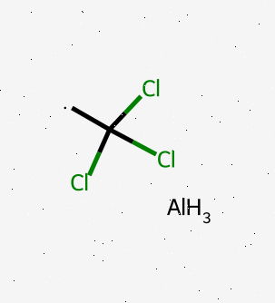 [AlH3].[CH2]C(Cl)(Cl)Cl